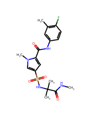 CNC(=O)C(C)(C)NS(=O)(=O)c1cc(C(=O)Nc2ccc(F)c(C)c2)n(C)c1